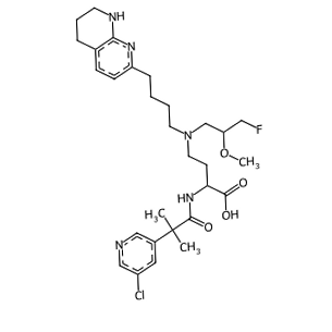 COC(CF)CN(CCCCc1ccc2c(n1)NCCC2)CCC(NC(=O)C(C)(C)c1cncc(Cl)c1)C(=O)O